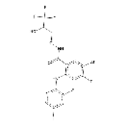 O=C(NOCC(O)C(F)(F)F)c1cc(Br)c(F)cc1Nc1ccc(I)cc1F